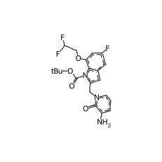 CC(C)(C)OC(=O)n1c(Cn2cccc(N)c2=O)cc2cc(F)cc(OCC(F)F)c21